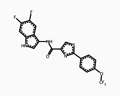 O=C(Nc1c[nH]c2cc(F)c(F)cc12)c1csc(-c2ccc(OC(F)(F)F)cc2)n1